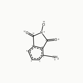 Nc1cccc2c1C(=O)N(Cl)C2=O